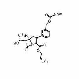 C=CCOC(=O)C1=C(c2cccc(COC(=O)NC)c2)C[C@@H]2[C@@H]([C@@H](C)O)C(=O)N12